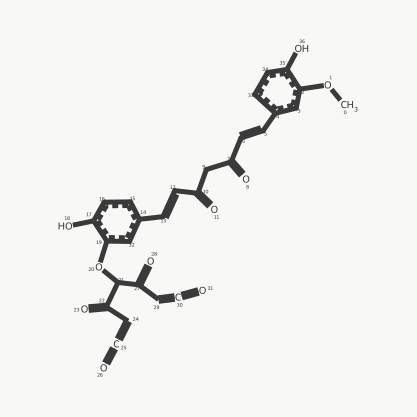 COc1cc(/C=C/C(=O)CC(=O)/C=C/c2ccc(O)c(OC(C(=O)C=C=O)C(=O)C=C=O)c2)ccc1O